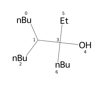 CCCCC(CCCC)C(O)(CC)CCCC